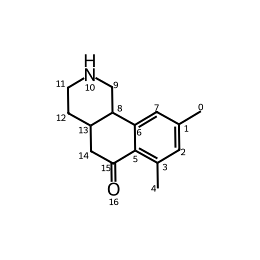 Cc1cc(C)c2c(c1)C1CNCCC1CC2=O